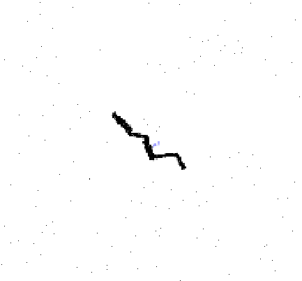 C=C/C=[C]/CC